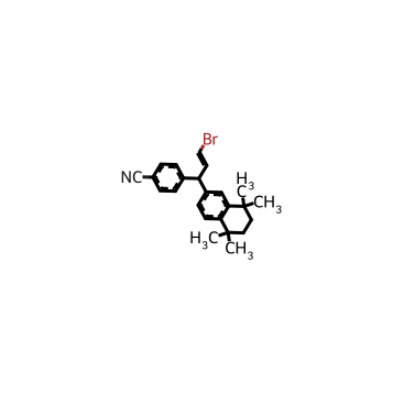 CC1(C)CCC(C)(C)c2cc(C(C=CBr)c3ccc(C#N)cc3)ccc21